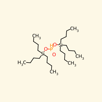 CCCC[Si](CCCC)(CCCC)O[PH](=O)O[Si](CCCC)(CCCC)CCCC